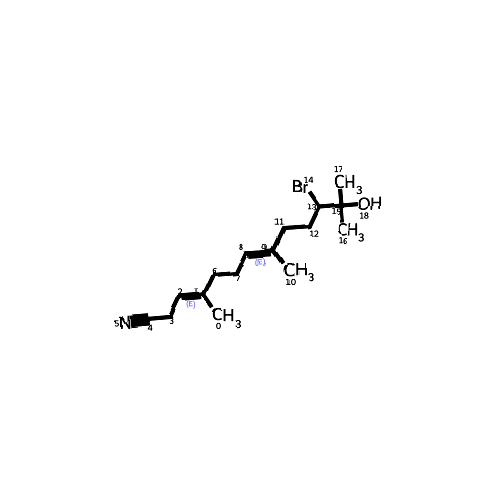 C/C(=C\CC#N)CC/C=C(\C)CCC(Br)C(C)(C)O